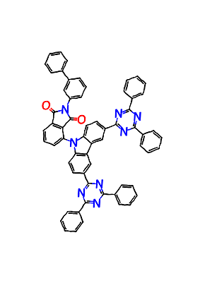 O=C1c2cccc(-n3c4ccc(-c5nc(-c6ccccc6)nc(-c6ccccc6)n5)cc4c4cc(-c5nc(-c6ccccc6)nc(-c6ccccc6)n5)ccc43)c2C(=O)N1c1cccc(-c2ccccc2)c1